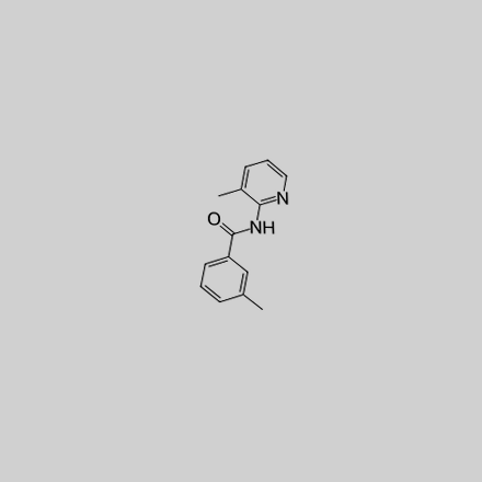 Cc1cccc(C(=O)Nc2ncccc2C)c1